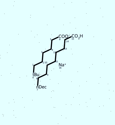 CC(C)(C)CCCCCC(=O)[O-].CCCCCCCCCCCCCCCCCC(=O)O.[Na+]